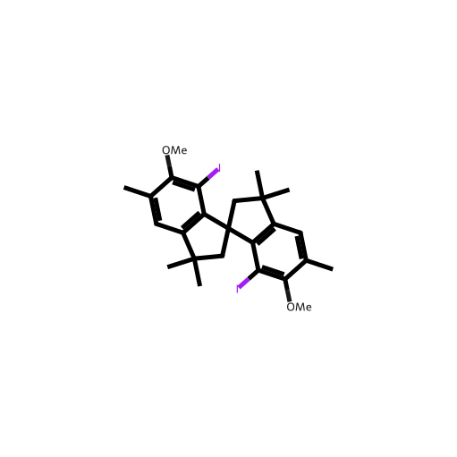 COc1c(C)cc2c(c1I)C1(CC2(C)C)CC(C)(C)c2cc(C)c(OC)c(I)c21